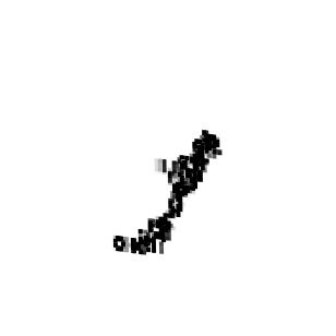 Cc1cccc(NC(=O)c2ccc(-c3nn4c(c3C(N)=O)Nc3ccc(N5CCN(CCc6cc(F)c(C(C)CCC(=O)NC=O)c(F)c6)CC5)cc3CC4)nc2C)n1